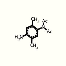 CC(=O)N(C(C)=O)c1cc(C)c(N)cc1C